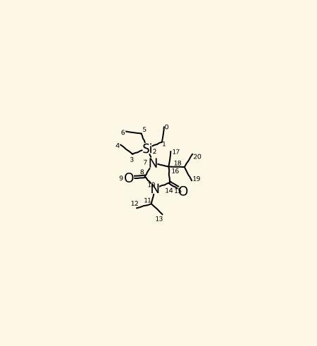 CC[Si](CC)(CC)N1C(=O)N(C(C)C)C(=O)C1(C)C(C)C